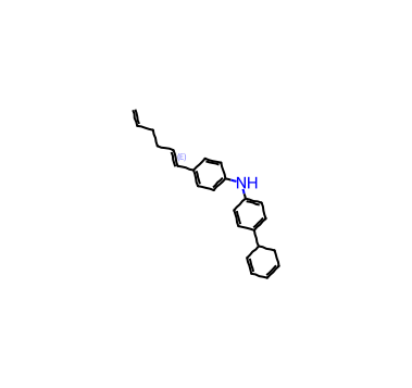 C=CCC/C=C/c1ccc(Nc2ccc(C3C=CC=CC3)cc2)cc1